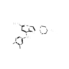 Cc1ccc(Nc2cc(N)nn3cc([C@H]4CC[C@@H](N)CC4)nc23)cc1C